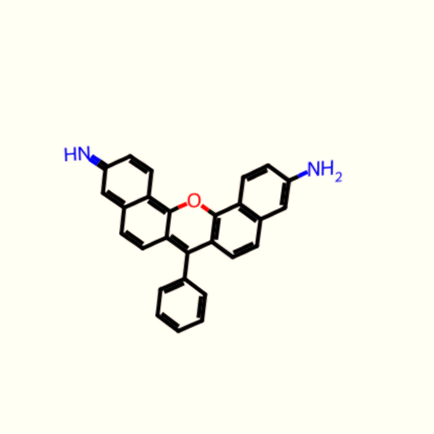 N=c1ccc2c(ccc3c(-c4ccccc4)c4ccc5cc(N)ccc5c4oc32)c1